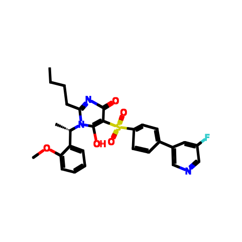 CCCCc1nc(=O)c(S(=O)(=O)c2ccc(-c3cncc(F)c3)cc2)c(O)n1[C@@H](C)c1ccccc1OC